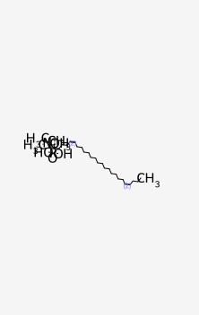 CCC/C=C\CCCCCCCCCCCCCC/C=C\CCCC(O)(C[N+](C)(C)C)P(=O)(O)O